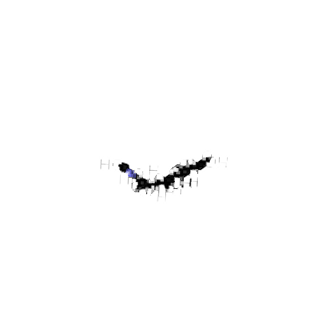 COc1c(NC(=O)CNC(=O)c2ccc(NC(=O)/C(C)=C/c3ccc(O)cc3)c(OC)c2O)ccc(C(=O)Nc2ccc(C(=O)Nc3ccc(C(=O)O)cc3)c(O)c2OC)c1O